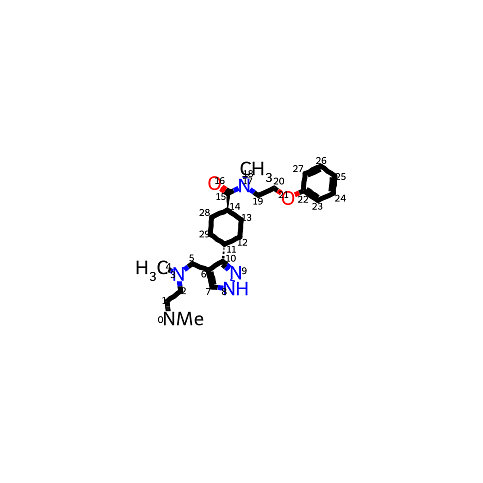 CNCCN(C)Cc1c[nH]nc1[C@H]1CC[C@H](C(=O)N(C)CCOc2ccccc2)CC1